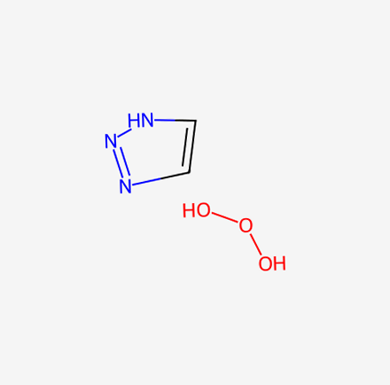 OOO.c1c[nH]nn1